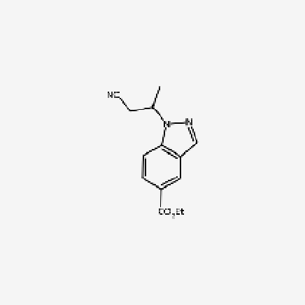 CCOC(=O)c1ccc2c(cnn2C(C)CC#N)c1